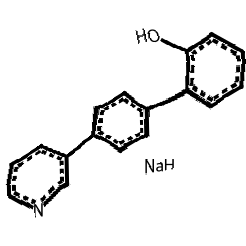 Oc1ccccc1-c1ccc(-c2cccnc2)cc1.[NaH]